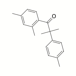 Cc1ccc(C(C)(C)C(=O)c2ccc(C)cc2C)cc1